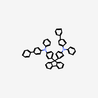 c1ccc(-c2ccc(N(c3ccccc3)c3ccc(C4(c5ccc(N(c6ccccc6)c6ccc(-c7ccccc7)cc6)cc5)c5ccccc5-c5ccccc54)cc3)cc2)cc1